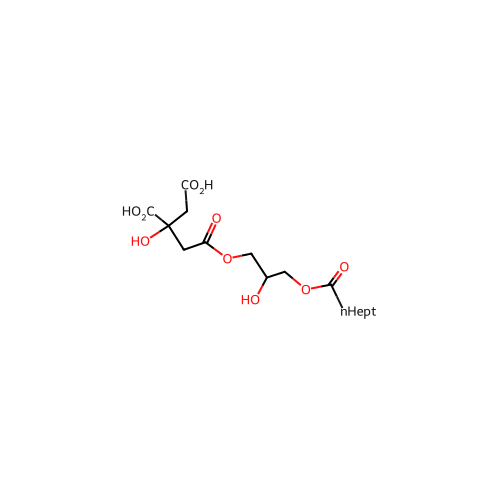 CCCCCCCC(=O)OCC(O)COC(=O)CC(O)(CC(=O)O)C(=O)O